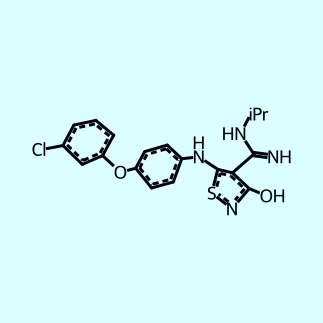 CC(C)NC(=N)c1c(O)nsc1Nc1ccc(Oc2cccc(Cl)c2)cc1